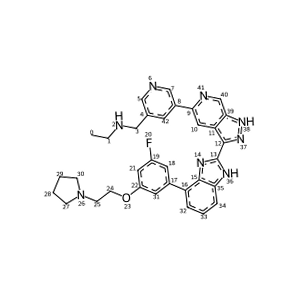 CCNCc1cncc(-c2cc3c(-c4nc5c(-c6cc(F)cc(OCCN7CCCC7)c6)cccc5[nH]4)n[nH]c3cn2)c1